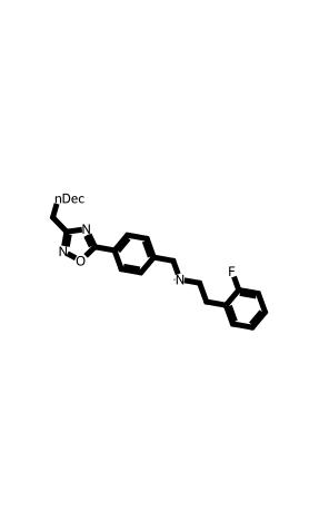 CCCCCCCCCCCc1noc(-c2ccc(C[N]CCc3ccccc3F)cc2)n1